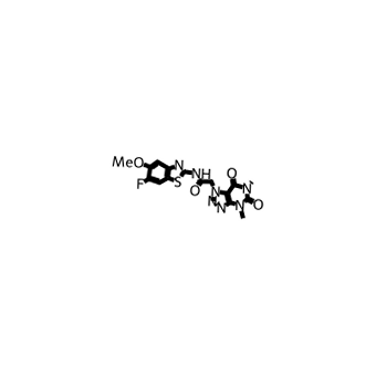 COc1cc2nc(NC(=O)Cn3nnc4c3c(=O)n(C)c(=O)n4C)sc2cc1F